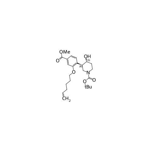 C=CCCCCOc1cc(C(=O)OC)ccc1[C@@H]1CN(C(=O)OC(C)(C)C)CC[C@@H]1O